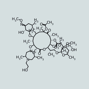 CO/N=C1\C[C@@H](C)O[C@@H](O[C@@H]2[C@@H](C)[C@H](O[C@H]3C[C@H](C)N(CCO)C[C@H](C)O3)[C@@H](C)C(=O)O[C@H]([C@@H](C)CO[C@@H]3O[C@H](C)[C@@H](O)[C@@H](OC)[C@H]3OC)[C@H](C)[C@@H](OC(=O)CC(C)C)[C@@H](C)C(=O)[C@@](C)(OC(C)=O)C[C@@H]2C)[C@@H]1O